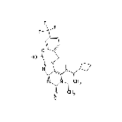 CCN1C(NC(C)C2CCC2)=c2c(nc(C(=O)O)n2Cc2ccc(C(F)(F)F)cc2)=N[C@@H]1C#N